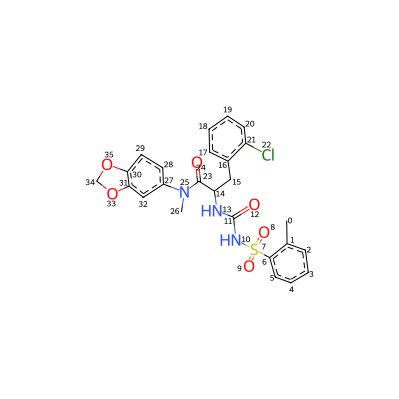 Cc1ccccc1S(=O)(=O)NC(=O)NC(Cc1ccccc1Cl)C(=O)N(C)c1ccc2c(c1)OCO2